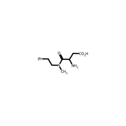 CC(C)CCN(C)C(=O)C(N)CC(=O)O